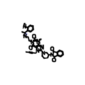 C=Nc1ccccc1/C(C)=N\CCn1c(=O)c2c(nc(N3CCCC(N4C(=O)c5ccccc5C4=O)C3)n2CC#CC)n(C)c1=O